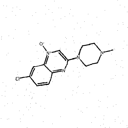 CN1CCN(c2c[n+]([O-])c3cc(Cl)ccc3n2)CC1